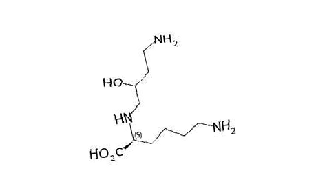 NCCCC[C@H](NCC(O)CCN)C(=O)O